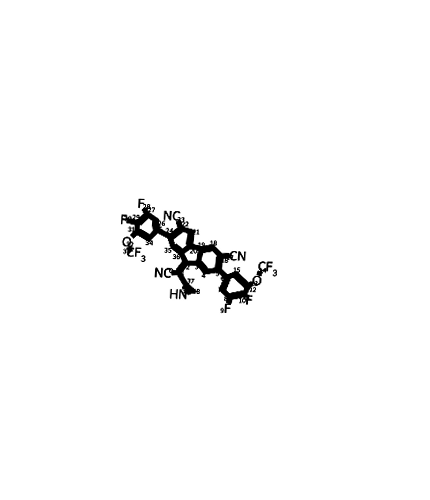 N#CC(=C1c2cc(-c3cc(F)c(F)c(OC(F)(F)F)c3)c(C#N)cc2-c2cc(C#N)c(-c3cc(F)c(F)c(OC(F)(F)F)c3)cc21)C1CN1